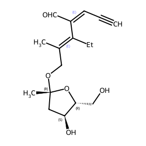 C#C/C=C(C=O)\C(CC)=C(/C)CO[C@@]1(C)C[C@H](O)[C@@H](CO)O1